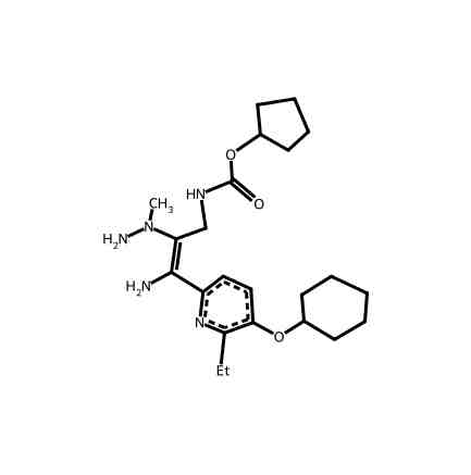 CCc1nc(/C(N)=C(\CNC(=O)OC2CCCC2)N(C)N)ccc1OC1CCCCC1